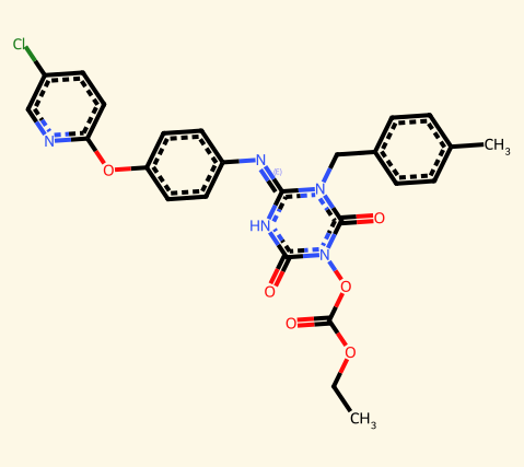 CCOC(=O)On1c(=O)[nH]/c(=N\c2ccc(Oc3ccc(Cl)cn3)cc2)n(Cc2ccc(C)cc2)c1=O